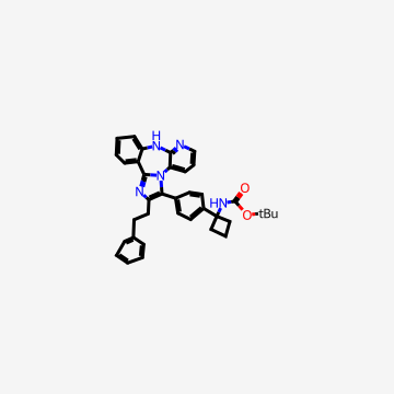 CC(C)(C)OC(=O)NC1(c2ccc(-c3c(CCc4ccccc4)nc4n3-c3cccnc3Nc3ccccc3-4)cc2)CCC1